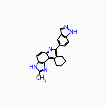 Cc1nc2c(ccc3nc(-c4ccc5[nH]ncc5c4)c4c(c32)CCCC4)[nH]1